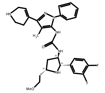 COCC[C@@H]1C[C@@H](NC(=O)Nc2c(C)c(C3=CCNCC3)nn2-c2ccccc2)[C@H](c2ccc(F)c(F)c2)N1